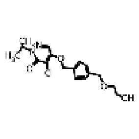 CC(C)n1ncc(OCc2ccc(COCCO)cc2)c(Cl)c1=O